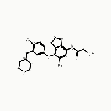 Cc1cc(NC(=O)CC(=O)O)c2c(c1Oc1ccc(O)c(CC3CCOCC3)c1)CCC2